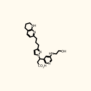 O=C(O)CC(c1cncc(NCCO)c1)n1ccc(CCCc2ccc3c(n2)NCCC3)n1